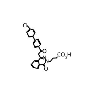 O=C(O)CCCn1nc(CC(=O)c2ccc(-c3ccc(Cl)cc3)cc2)c2ccccc2c1=O